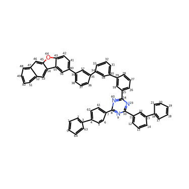 c1ccc(-c2ccc(-c3nc(-c4cccc(-c5ccccc5)c4)nc(-c4cccc(-c5cccc(-c6cccc(-c7ccc8oc9cc%10ccccc%10cc9c8c7)c6)c5)c4)n3)cc2)cc1